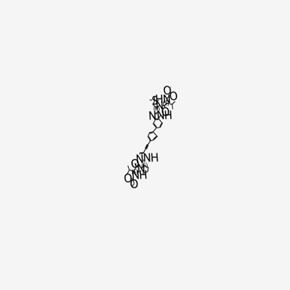 COC(=O)N[C@H](C(=O)N1CCC[C@H]1c1ncc(C#Cc2ccc(-c3ccc4[nH]c([C@@H]5CS(C)(C)CN5C(=O)[C@@H](NC(=O)OC)C(C)C)nc4c3)cc2)[nH]1)C(C)C